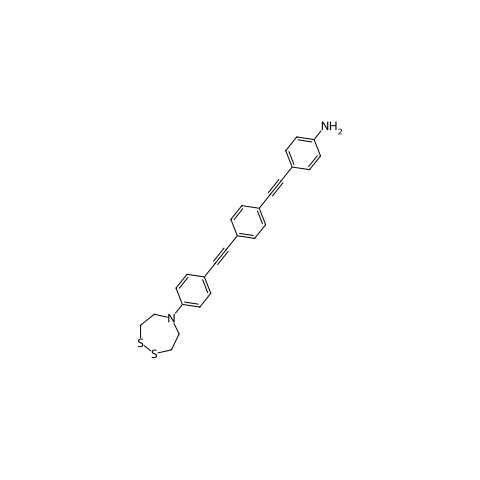 Nc1ccc(C#Cc2ccc(C#Cc3ccc(N4CCSSCC4)cc3)cc2)cc1